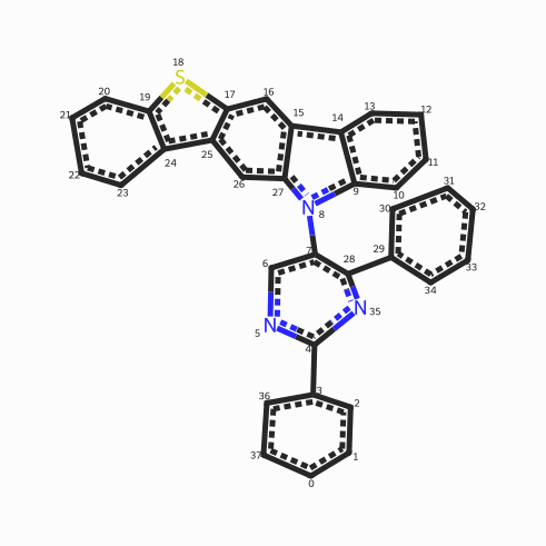 c1ccc(-c2ncc(-n3c4ccccc4c4cc5sc6ccccc6c5cc43)c(-c3ccccc3)n2)cc1